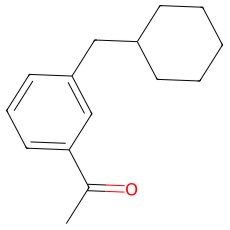 CC(=O)c1cccc(CC2CCCCC2)c1